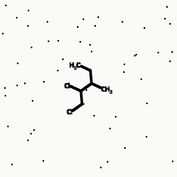 CCC(C)C(Cl)[CH]Cl